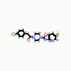 O=C(Cc1ccc(Cl)cc1)N1CCN(c2nc3ncc(F)cc3o2)CC1